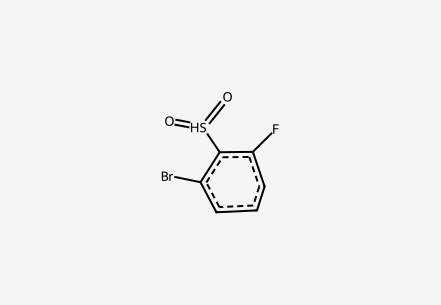 O=[SH](=O)c1c(F)cccc1Br